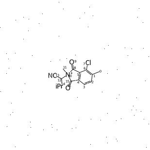 Cc1ccc2c(c1Cl)C(=O)[N+](C)(C(C#N)C(C)C)C2=O